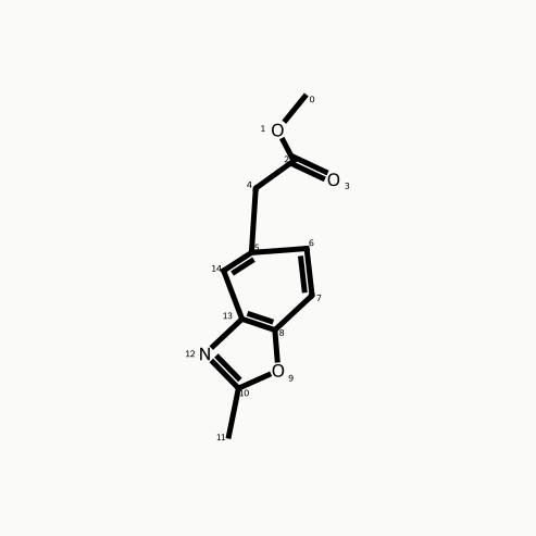 COC(=O)Cc1ccc2oc(C)nc2c1